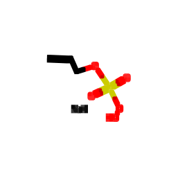 C=CCOS(=O)(=O)OO.[NaH]